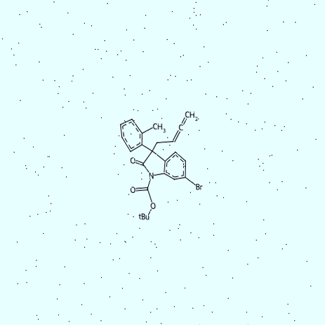 C=C=CCC1(c2ccccc2C)C(=O)N(C(=O)OC(C)(C)C)c2cc(Br)ccc21